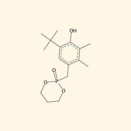 Cc1c(CP2(=O)OCCCO2)cc(C(C)(C)C)c(O)c1C